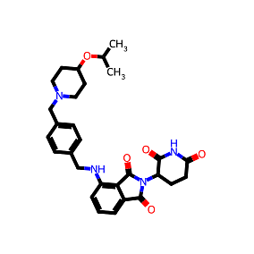 CC(C)OC1CCN(Cc2ccc(CNc3cccc4c3C(=O)N(C3CCC(=O)NC3=O)C4=O)cc2)CC1